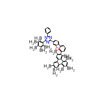 Bc1cc2c(cc1B)c1c(B)c(B)cc(B)c1c1c(B)c(-c3cccc4c3oc3cc(-c5nc(-c6ccccc6)nc(-c6c(B)c(B)c(B)c(B)c6B)n5)ccc34)c(B)cc21